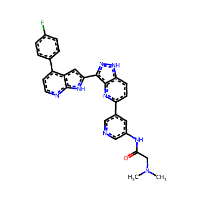 CN(C)CC(=O)Nc1cncc(-c2ccc3[nH]nc(-c4cc5c(-c6ccc(F)cc6)ccnc5[nH]4)c3n2)c1